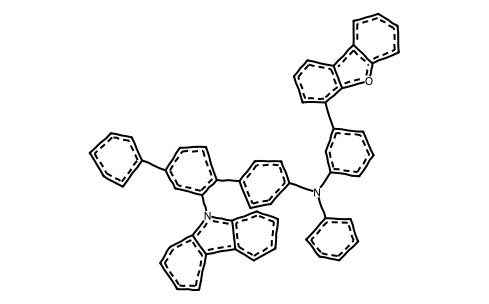 c1ccc(-c2ccc(-c3ccc(N(c4ccccc4)c4cccc(-c5cccc6c5oc5ccccc56)c4)cc3)c(-n3c4ccccc4c4ccccc43)c2)cc1